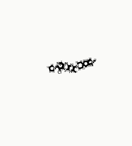 Cc1nc(Sc2ccnc(N3CCCC3)c2Cl)c(N)nc1N1CCC2(CC1)Cc1cn(C)nc1C2